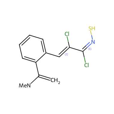 C=C(NC)c1ccccc1/C=C(Cl)/C(Cl)=N\S